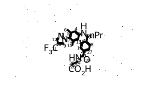 CCC[C@H](Nc1cc(C)c(-n2cc(C(F)(F)F)cn2)c(C)c1)c1ccc(C(=O)NCCC(=O)O)cc1